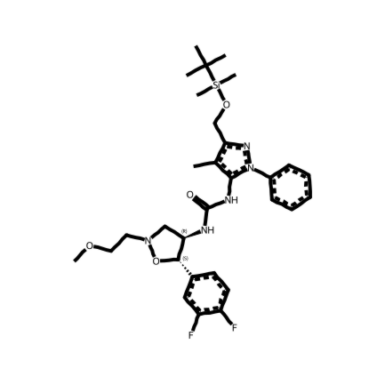 COCCN1C[C@@H](NC(=O)Nc2c(C)c(CO[Si](C)(C)C(C)(C)C)nn2-c2ccccc2)[C@H](c2ccc(F)c(F)c2)O1